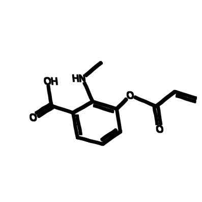 C=CC(=O)Oc1cccc(C(=O)O)c1NC